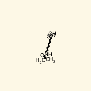 C=C(C)C(=O)NCCCCCCCCS(=O)(=O)O